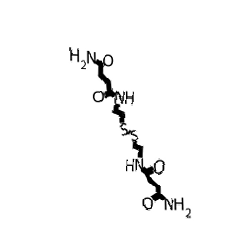 NC(=O)CCC(=O)NCCSSCCNC(=O)CCC(N)=O